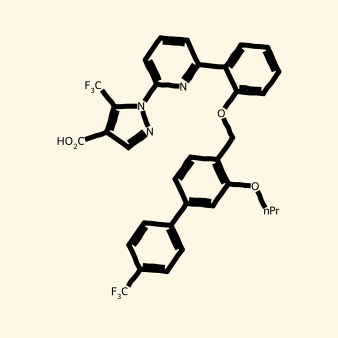 CCCOc1cc(-c2ccc(C(F)(F)F)cc2)ccc1COc1ccccc1-c1cccc(-n2ncc(C(=O)O)c2C(F)(F)F)n1